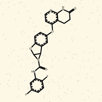 O=C1CCc2c(Oc3ccc4c(c3)C3C(O4)N3C(=O)Nc3cc(F)ccc3F)ccnc2N1